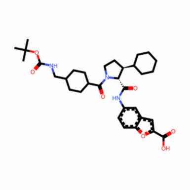 CC(C)(C)OC(=O)NCC1CCC(C(=O)N2CC[C@@H](C3CCCCC3)[C@@H]2C(=O)Nc2ccc3oc(C(=O)O)cc3c2)CC1